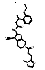 CCOc1ccccc1C(C)CC(=O)NC1SC2=C(CCN(C(=O)CCc3nccn3C)C2)C1C#N